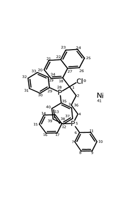 ClC(CCCP(c1ccccc1)c1ccccc1)(c1cccc2ccccc12)P(c1ccccc1)c1ccccc1.[Ni]